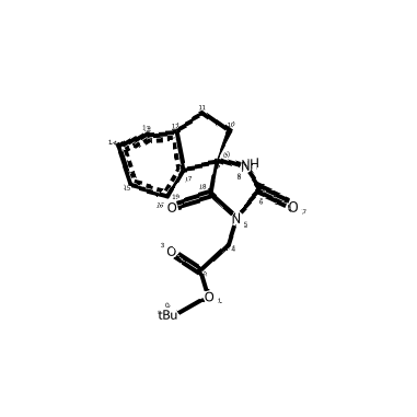 CC(C)(C)OC(=O)CN1C(=O)N[C@]2(CCc3ccccc32)C1=O